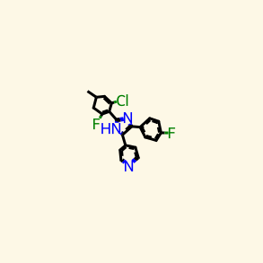 CC1C=C(Cl)C(c2nc(-c3ccc(F)cc3)c(-c3ccncc3)[nH]2)=C(F)C1